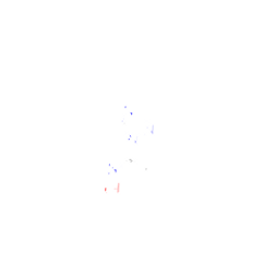 CCc1ncn(/C(=N/O)C(C)(C)C)n1